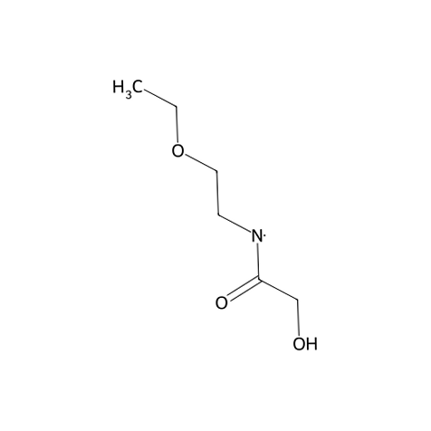 CCOCC[N]C(=O)CO